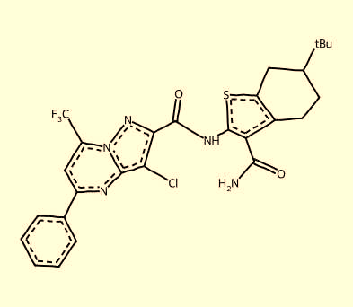 CC(C)(C)C1CCc2c(sc(NC(=O)c3nn4c(C(F)(F)F)cc(-c5ccccc5)nc4c3Cl)c2C(N)=O)C1